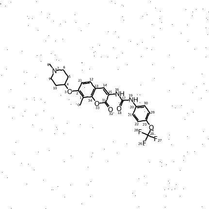 Cc1c(OC2CCN(C)CC2)ccc2cc(NC(=O)Nc3ccc(OC(F)(F)F)cc3)c(=O)oc12